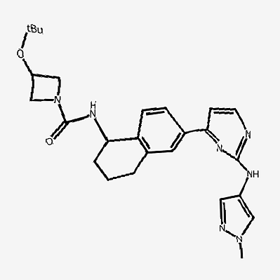 Cn1cc(Nc2nccc(-c3ccc4c(c3)CCCC4NC(=O)N3CC(OC(C)(C)C)C3)n2)cn1